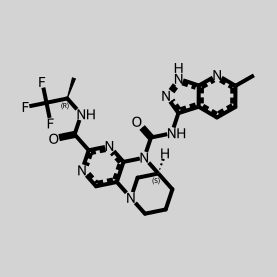 Cc1ccc2c(NC(=O)N3c4nc(C(=O)N[C@H](C)C(F)(F)F)ncc4N4CCC[C@H]3C4)n[nH]c2n1